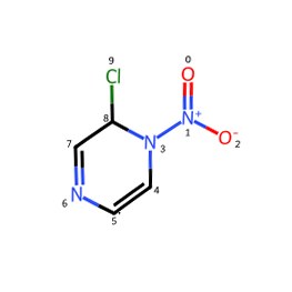 O=[N+]([O-])N1C=[C]N=CC1Cl